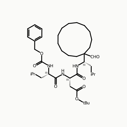 CC(C)C[C@H](NC(=O)OCc1ccccc1)C(=O)N[C@@H](CC(=O)OC(C)(C)C)C(=O)N[C@@H](CC(C)C)C1(C=O)CCCCCCCCCCCC1